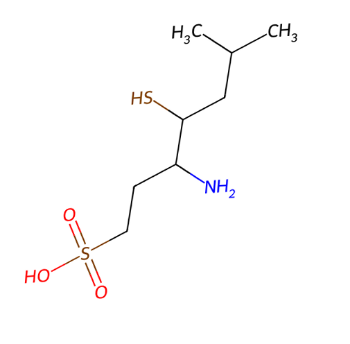 CC(C)CC(S)C(N)CCS(=O)(=O)O